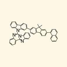 CC1(C)c2cc(-c3ccc4c5ccccc5n(-c5nc6ccccc6c6nc7ccccc7n56)c4c3)ccc2-c2ccc(-c3cccc4ccccc34)cc21